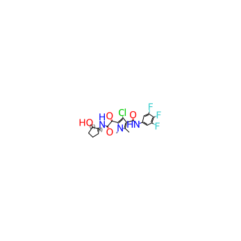 Cc1c(C(=O)Nc2cc(F)c(F)c(F)c2)c(Cl)c(C(=O)C(=O)N[C@@H]2CCC[C@@H]2O)n1C